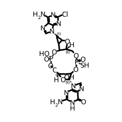 Nc1nc2c(ncn2[C@@H]2O[C@@H]3COP(=O)(O)OC4C5C(O[C@@H]4CO[P@@](=O)(S)OC2C3O)[C@H]5n2cnc3c(N)nc(Cl)nc32)c(=O)[nH]1